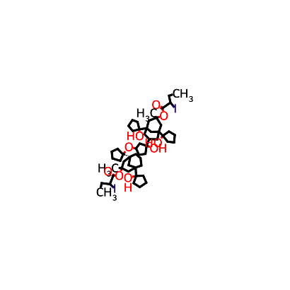 CCC(I)C(=O)OC1(C)CC2(C3(O)CCCC3)CC(C3(O)CCC(OC4([C@@]56CCCC(C7(O)CCCC7)(CC(C)(OC(=O)C(I)CC)C5)C6)CCCC4)C3)CC(C3(O)CCCC3)(C1)C2